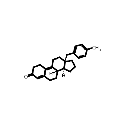 Cc1ccc(C[C@@]23CCC[C@H]2[C@@H]2CCC4=CC(=O)CCC4=C2CC3)cc1